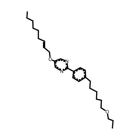 CCCCCCC=CCOc1cnc(-c2ccc(CCCCCCOCCC)cc2)nc1